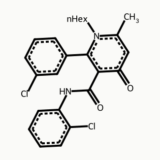 CCCCCCn1c(C)cc(=O)c(C(=O)Nc2ccccc2Cl)c1-c1cccc(Cl)c1